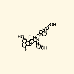 C#Cc1c(F)ccc2cc(O)cc(-c3ncc4c(N5CCC[C@@](C)(O)C5)nc(OC[C@]56CCC[C@H]5N(C5CC(CO)C5)CCC6)nc4c3F)c12